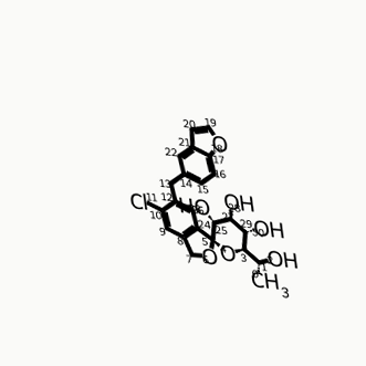 C[C@@H](O)[C@H]1O[C@]2(OCc3cc(Cl)c(Cc4ccc5occc5c4)cc32)[C@H](O)[C@@H](O)[C@@H]1O